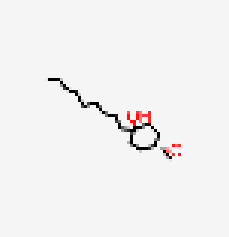 C1CO1.CCCCCCCCCC1(O)CCCCC1